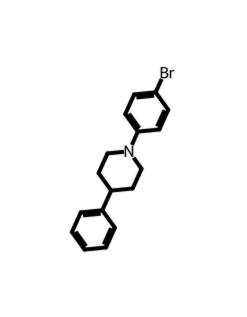 Brc1ccc(N2CCC(c3ccccc3)CC2)cc1